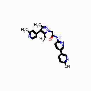 Cc1cc(-c2c(C)nn(CC(=O)Nc3ccc(-c4ccc(C#N)nc4)cn3)c2C)ccn1